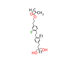 C=C(C)C(=O)OCCCc1ccc(CCc2ccc(CCC(CC)(CO)CO)cc2CC)c(F)c1